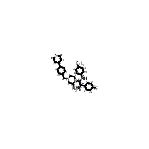 C=C1CN(Cc2ccc(-c3ccncc3)cc2)CCN1/C(Nc1ccc(C)cc1)=C(\N)c1ccc(F)cc1